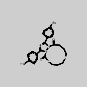 CC(C)(C)c1ccc(C(=O)N2C(=O)CCCCCCCCC(=O)N2C(=O)c2ccc(C(C)(C)C)cc2)cc1